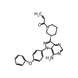 C=CC(=O)N1CCC[C@@H](c2nn(-c3ccc(Oc4ccccc4)cc3)c3c(N)ncnc23)C1